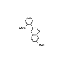 COc1ccc2c(c1)OCC(c1ccccc1OC)=C2